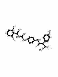 CC(C)C(C(=O)Nc1ccc(NC(=O)NC(=O)c2c(F)cccc2F)cc1)c1ccc(Cl)cc1